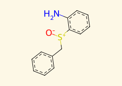 Nc1ccccc1[S+]([O-])Cc1ccccc1